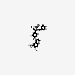 COc1cc2nccc(Oc3ccc(C4CNC(=O)N4Cc4ccccc4)cc3)c2cc1OC